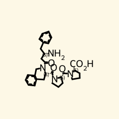 N[C@H](CC(=O)N1Cc2ccccc2C[C@H]1C(=O)N1CCC[C@H]1C(=O)N1CCC[C@H]1C(=O)O)Cc1ccccc1